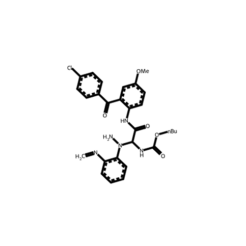 C=Nc1ccccc1N(N)C(NC(=O)OCCCC)C(=O)Nc1ccc(OC)cc1C(=O)c1ccc(Cl)cc1